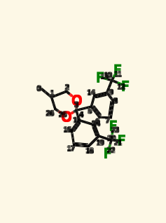 CC1COC(c2cccc(C(F)(F)F)c2)(c2cccc(C(F)(F)F)c2)OC1